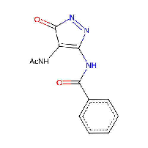 CC(=O)NC1=C(NC(=O)c2ccccc2)N=NC1=O